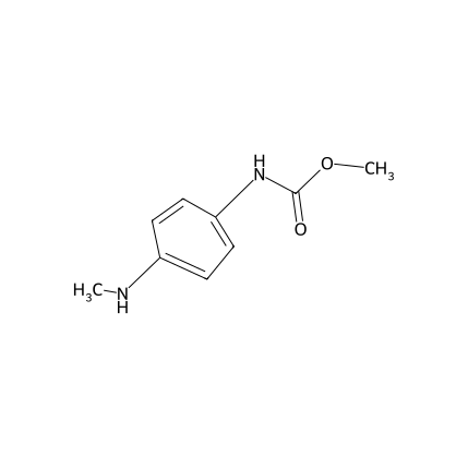 CNc1ccc(NC(=O)OC)cc1